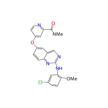 CNC(=O)c1cc(Oc2ccc3nc(Nc4cc(Cl)ccc4OC)ncc3c2)ccn1